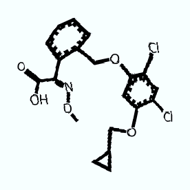 CON=C(C(=O)O)c1ccccc1COc1cc(OCC2CC2)c(Cl)cc1Cl